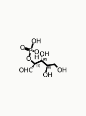 O=C[C@@H](OP(=O)(O)O)[C@H](O)[C@H](O)CO